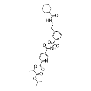 CC(C)OC(=O)C(C)OC(=O)c1ccc(C(=O)NS(=O)(=O)c2cccc(CCNC(=O)C3CCCCC3)c2)cn1